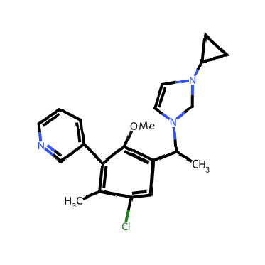 COc1c(C(C)N2C=CN(C3CC3)C2)cc(Cl)c(C)c1-c1cccnc1